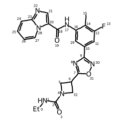 CCNC(=O)N1CC(c2nc(-c3cc(F)c(C)c(NC(=O)c4cnc5ccccn45)c3)no2)C1